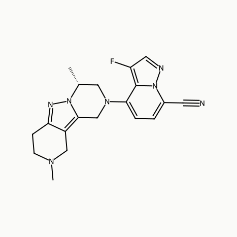 C[C@@H]1CN(c2ccc(C#N)n3ncc(F)c23)Cc2c3c(nn21)CCN(C)C3